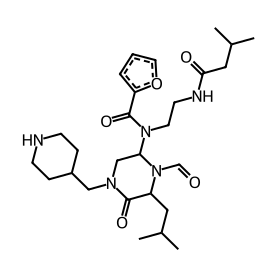 CC(C)CC(=O)NCCN(C(=O)c1ccco1)C1CN(CC2CCNCC2)C(=O)C(CC(C)C)N1C=O